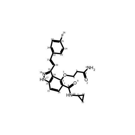 NC(=O)CCOc1c(C(=O)NC2CC2)ccc2[nH]nc(C=Cc3ccc(F)cc3)c12